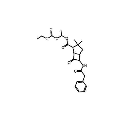 CCOC(=O)OC(C)OC(=O)C1N2C(=O)C(NC(=O)Cc3ccccc3)C2SC1(C)C